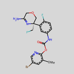 COc1cc(Br)cnc1OC(=O)Nc1ccc(F)c([C@]2(CF)COCC(N)=N2)c1